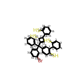 Sc1ccccc1-c1cc(C(C2=CC(c3ccccc3S)[C@H]2S)(c2ccccc2)c2cccc(Br)c2)ccc1S